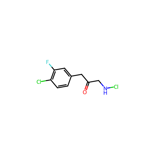 O=C(CNCl)Cc1ccc(Cl)c(F)c1